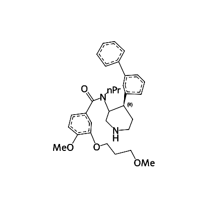 CCCN(C(=O)c1ccc(OC)c(OCCCOC)c1)C1CNCC[C@@H]1c1cccc(-c2ccccc2)c1